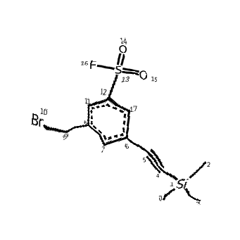 C[Si](C)(C)C#Cc1cc(CBr)cc(S(=O)(=O)F)c1